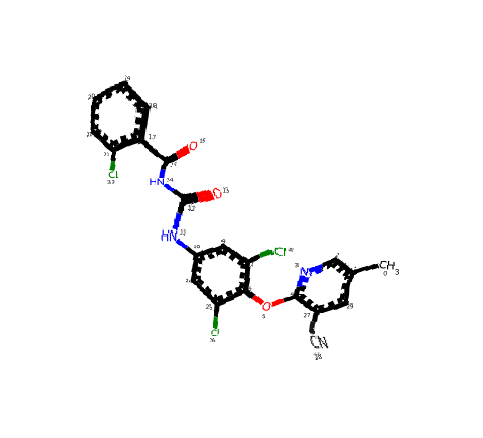 Cc1cnc(Oc2c(Cl)cc(NC(=O)NC(=O)c3ccccc3Cl)cc2Cl)c(C#N)c1